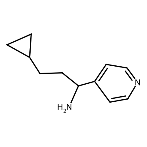 NC(CCC1CC1)c1ccncc1